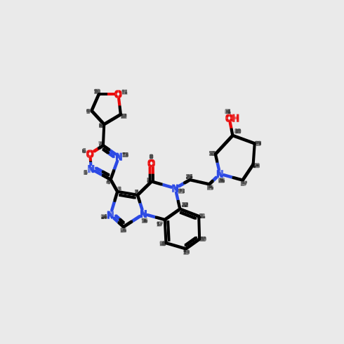 O=c1c2c(-c3noc(C4CCOC4)n3)ncn2c2ccccc2n1CCN1CCCC(O)C1